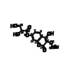 CCCCOc1c(O)c2ccc(OC(=O)C(O)CO)cc2oc1=O